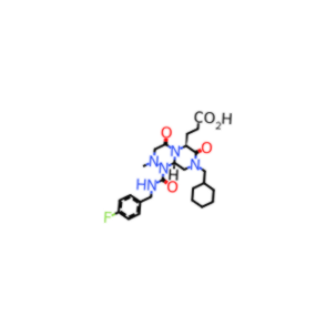 CN1CC(=O)N2[C@@H](CCC(=O)O)C(=O)N(CC3CCCCC3)C[C@@H]2N1C(=O)NCc1ccc(F)cc1